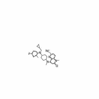 Cc1cc(F)ccc1N(CC1CC1)C1CCC(N(C)c2cc(=O)n(C)c3ccc(C#N)nc23)CC1